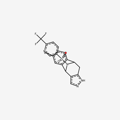 O=S(=O)(c1ccc(C(F)(F)F)nc1)N1C2Cc3[nH]ncc3C1c1cc(Br)ccc12